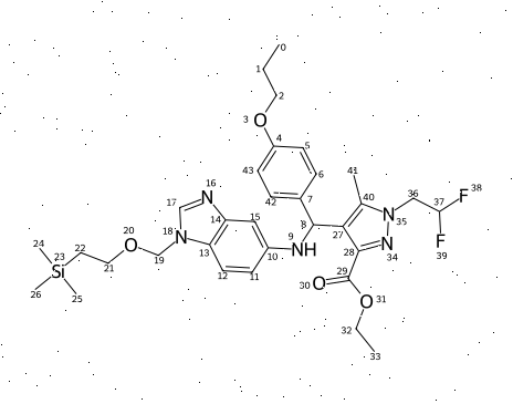 CCCOc1ccc(C(Nc2ccc3c(c2)ncn3COCC[Si](C)(C)C)c2c(C(=O)OCC)nn(CC(F)F)c2C)cc1